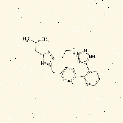 CCCc1nc(CC(C)C)nn1Cc1ccc(-c2ncccc2-c2nnn[nH]2)cc1